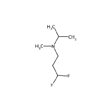 CC(C)N(C)CCC(F)F